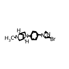 CN1C[C@H]2C[C@@H]1CN2c1ccc(-n2cnc(Br)c2)cc1